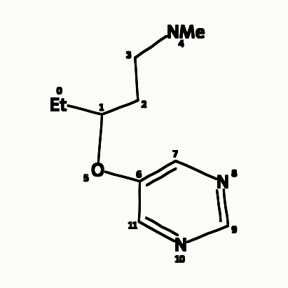 CCC(CCNC)Oc1cncnc1